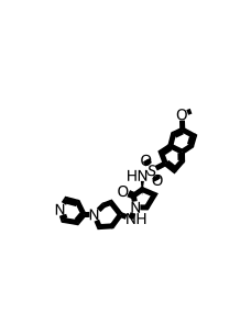 COc1ccc2ccc(S(=O)(=O)N[C@H]3CCN(NC4CCN(c5ccncc5)CC4)C3=O)cc2c1